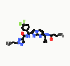 O=C(CCC(F)(F)F)N[C@@H](c1ccn2cc([C@@H](NC(=O)c3cnn(CCC(F)(F)F)n3)C3CCC(F)(F)CC3)nc2n1)C1CC1